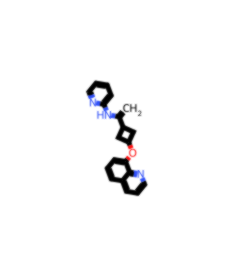 C=C(Nc1ccccn1)C1CC(Oc2cccc3cccnc23)C1